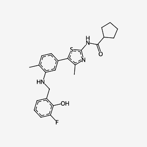 Cc1ccc(-c2sc(NC(=O)C3CCCC3)nc2C)cc1NCc1cccc(F)c1O